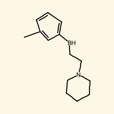 Cc1cccc(BCCN2CCCCC2)c1